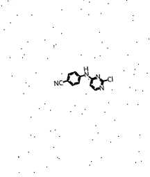 N#Cc1ccc(Nc2ccnc(Cl)n2)cc1